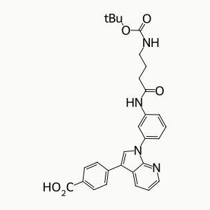 CC(C)(C)OC(=O)NCCCC(=O)Nc1cccc(-n2cc(-c3ccc(C(=O)O)cc3)c3cccnc32)c1